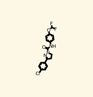 O=C(Nc1ccc(OC(F)F)cc1)N1CCC(c2ccc(Cl)cc2)=N1